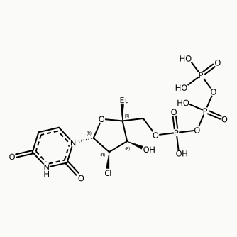 CC[C@]1(COP(=O)(O)OP(=O)(O)OP(=O)(O)O)O[C@@H](n2ccc(=O)[nH]c2=O)[C@H](Cl)[C@@H]1O